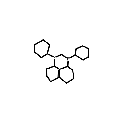 C1CCC(P2CP(C3CCCCC3)C3CCCC4=C3C2CCC4)CC1